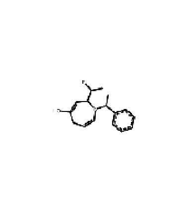 CC(c1ccccc1)N1C=CCC(O)=CC1C(F)F